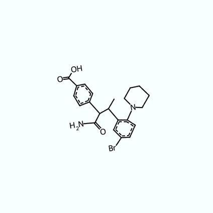 CC(c1cc(Br)ccc1N1CCCCC1)C(C(N)=O)c1ccc(C(=O)O)cc1